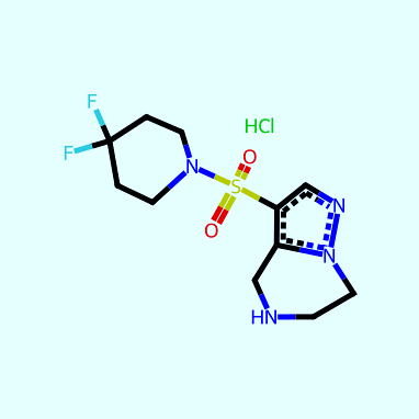 Cl.O=S(=O)(c1cnn2c1CNCC2)N1CCC(F)(F)CC1